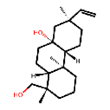 C=C[C@@]1(C)CC[C@H]2[C@@](O)(CC[C@H]3[C@@](C)(CO)CCC[C@@]32C)C1